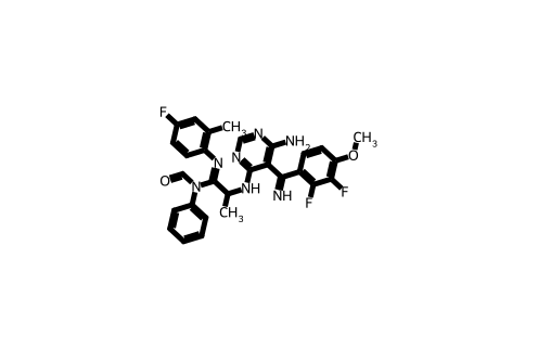 COc1ccc(C(=N)c2c(N)ncnc2NC(C)/C(=N/c2ccc(F)cc2C)N(C=O)c2ccccc2)c(F)c1F